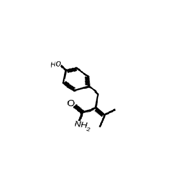 CC(C)=C(Cc1ccc(O)cc1)C(N)=O